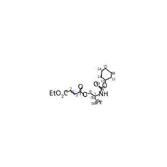 CCOC(=O)/C=C/C(=O)OC[C@@H](NC(=O)OC1CCCCC1)C(C)C